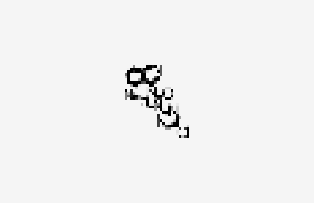 N#C[C@@H]1CN(c2ncc(Cl)cn2)C(=O)N1c1cncc2ccccc12